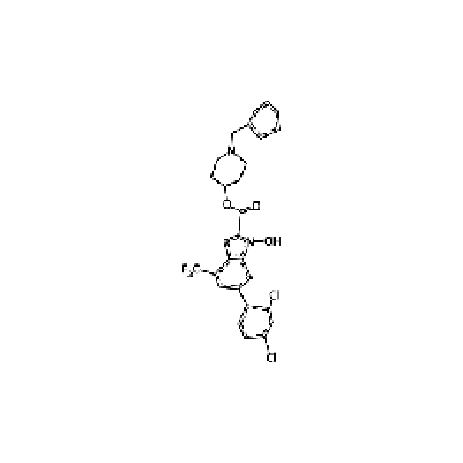 O=C(OC1CCN(Cc2ccccc2)CC1)c1cc2c(C(F)(F)F)cc(-c3ccc(Cl)cc3Cl)cc2n1O